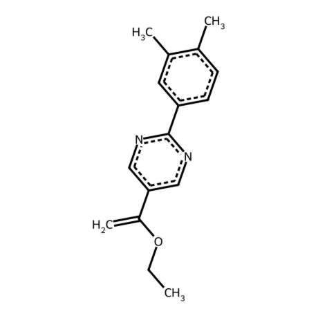 C=C(OCC)c1cnc(-c2ccc(C)c(C)c2)nc1